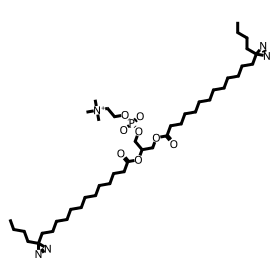 CCCCC1(CCCCCCCCCCCCC(=O)OCC(COP(=O)([O-])OCC[N+](C)(C)C)OC(=O)CCCCCCCCCCCCC2(CCCC)N=N2)N=N1